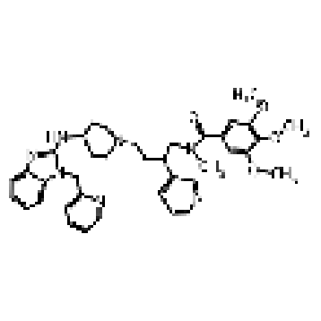 COc1cc(C(=O)N(C)CC(CCN2CCC(Nc3nc4ccccc4n3Cc3ccccn3)CC2)c2cccnc2)cc(OC)c1OC